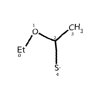 CCOC(C)[S]